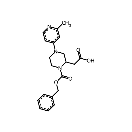 Cc1cc(N2CCN(C(=O)OCc3ccccc3)C(CC(=O)O)C2)ccn1